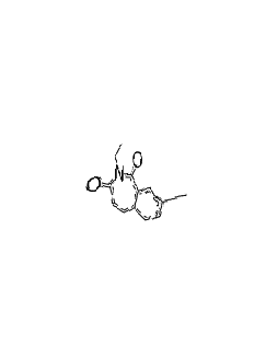 CCn1c(=O)ccc2ccc(C)cc2c1=O